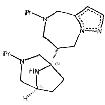 CC(C)N1Cc2ccnn2CC([C@@]23CC[C@@H](CN(C(C)C)C2)N3)C1